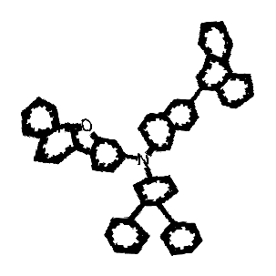 c1ccc(-c2ccc(N(c3ccc4cc(-c5cc6ccccc6c6ccccc56)ccc4c3)c3ccc4c(c3)oc3c5ccccc5ccc43)cc2-c2ccccc2)cc1